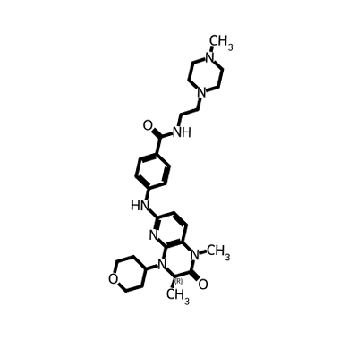 C[C@@H]1C(=O)N(C)c2ccc(Nc3ccc(C(=O)NCCN4CCN(C)CC4)cc3)nc2N1C1CCOCC1